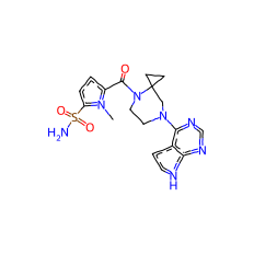 Cn1c(C(=O)N2CCN(c3ncnc4[nH]ccc34)CC23CC3)ccc1S(N)(=O)=O